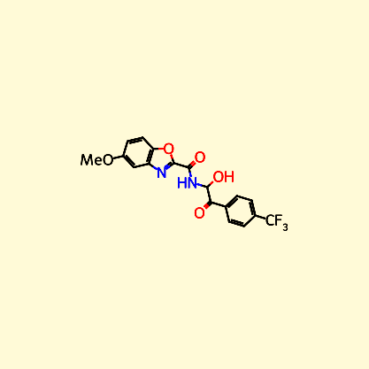 COc1ccc2oc(C(=O)NC(O)C(=O)c3ccc(C(F)(F)F)cc3)nc2c1